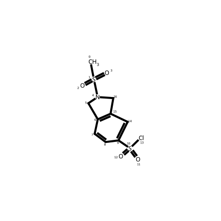 CS(=O)(=O)N1Cc2ccc(S(=O)(=O)Cl)cc2C1